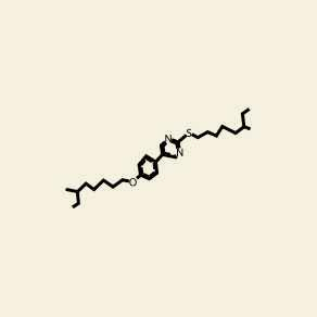 CCC(C)CCCCCOc1ccc(-c2cnc(SCCCCCC(C)CC)nc2)cc1